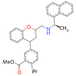 COC(=O)c1cc(C2CC(CN[C@H](C)c3cccc4ccccc34)Oc3ccccc32)ccc1C(C)C